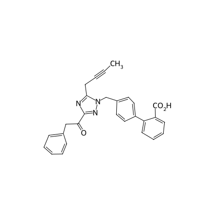 CC#CCc1nc(C(=O)Cc2ccccc2)nn1Cc1ccc(-c2ccccc2C(=O)O)cc1